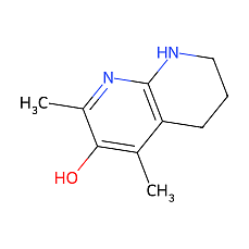 Cc1nc2c(c(C)c1O)CCCN2